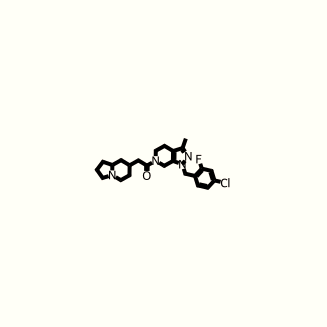 Cc1nn(Cc2ccc(Cl)cc2F)c2c1CCN(C(=O)CC1CCN3CCCC3C1)C2